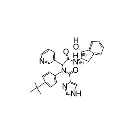 CC(C)(C)c1ccc(N(C(=O)c2c[nH]cn2)C(C(=O)N[C@@H]2Cc3ccccc3[C@H]2O)c2cccnc2)cc1